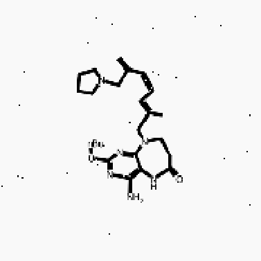 C=C(/C=C\C=C(/C)CN1CCC(=O)Nc2c(N)nc(OCCCC)nc21)CN1CCCC1